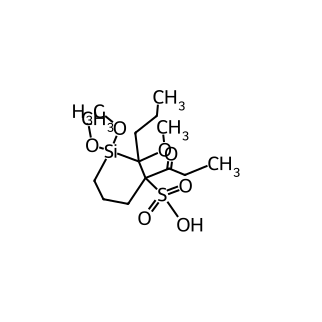 CCCC1(OC)C(C(=O)CC)(S(=O)(=O)O)CCC[Si]1(OC)OC